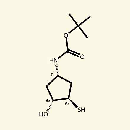 CC(C)(C)OC(=O)N[C@H]1C[C@@H](O)[C@H](S)C1